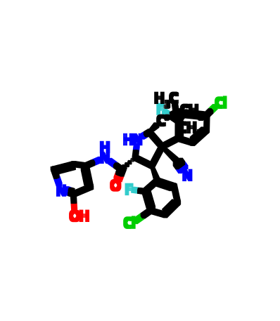 CC(C)(C)C[C@@H]1N[C@@H](C(=O)Nc2ccnc(O)c2)[C@H](c2cccc(Cl)c2F)[C@@]1(C#N)c1ccc(Cl)cc1F